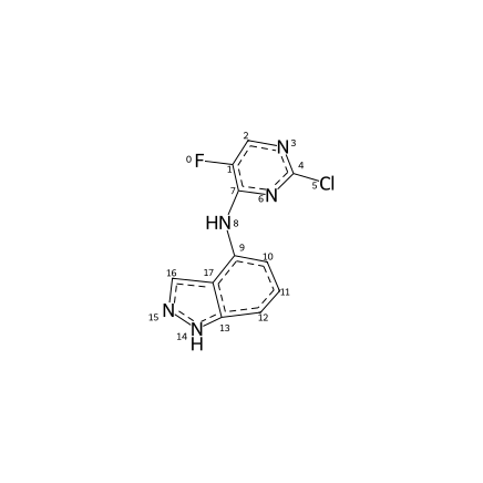 Fc1cnc(Cl)nc1Nc1cccc2[nH]ncc12